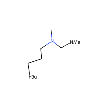 CCCCCCCN(C)CNC